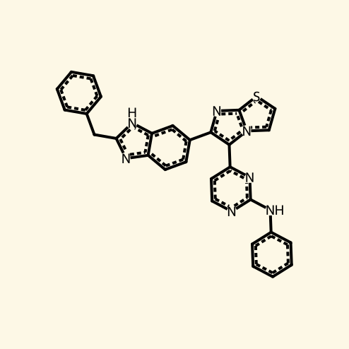 c1ccc(Cc2nc3ccc(-c4nc5sccn5c4-c4ccnc(Nc5ccccc5)n4)cc3[nH]2)cc1